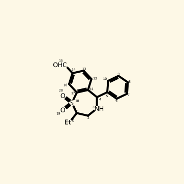 CCC1CNC(c2ccccc2)c2ccc(C=O)cc2S1(=O)=O